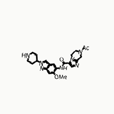 COc1cc2nn(C3CCNCC3)cc2cc1NC(=O)c1cnc2n1CCN(C(C)=O)C2